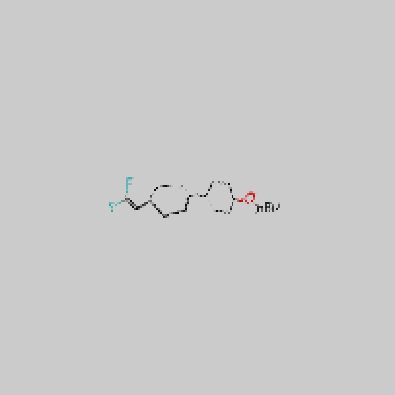 CCCCO[C@H]1CC[C@H]([C@H]2CC[C@H](C=C(F)F)CC2)CC1